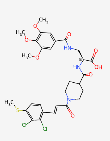 COc1cc(C(=O)NC[C@H](NC(=O)C2CCN(C(=O)C=Cc3ccc(SC)c(Cl)c3Cl)CC2)C(=O)O)cc(OC)c1OC